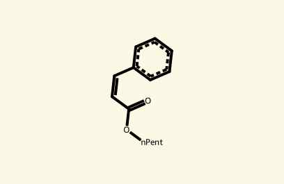 CCCCCOC(=O)/C=C\c1ccccc1